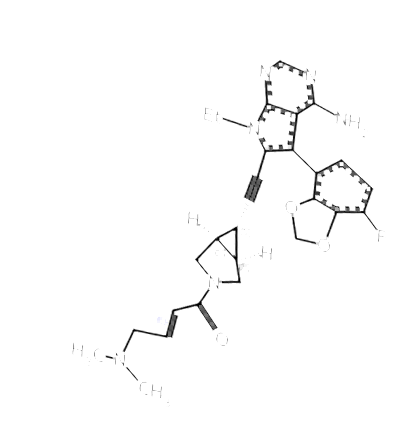 CCn1c(C#C[C@@H]2[C@H]3CN(C(=O)/C=C/CN(C)C)C[C@@H]23)c(-c2ccc(F)c3c2OCO3)c2c(N)ncnc21